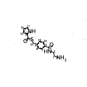 NCCNC(=O)c1ccc(CSC(=O)c2ccc[nH]2)cc1